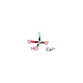 [Ca+2].[O-][Si]([O-])(O)F